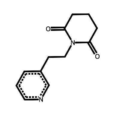 O=C1CCCC(=O)N1CCc1cccnc1